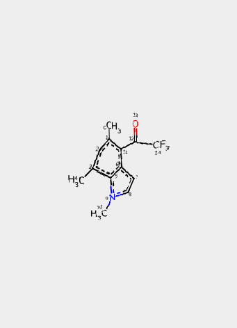 Cc1cc(C)c2c(ccn2C)c1C(=O)C(F)(F)F